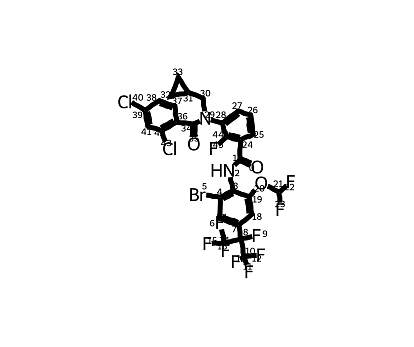 O=C(Nc1c(Br)cc(C(F)(C(F)(F)F)C(F)(F)F)cc1OC(F)F)c1cccc(N(CC2CC2)C(=O)c2ccc(Cl)cc2Cl)c1F